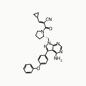 N#CC(=CC1CC1)C(=O)N1CCC[C@H]1Cn1nc(-c2ccc(Oc3ccccc3)cc2)c2c(N)ncnc21